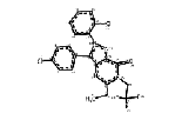 CCc1nc2c(-c3ccc(Cl)cc3)n(-c3ccccc3Cl)nc2c(=O)n1CC(F)(F)F